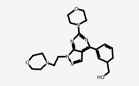 OCC1C=C(c2nc(N3CCOCC3)nc3c2cnn3CCN2CCOCC2)C=CC1